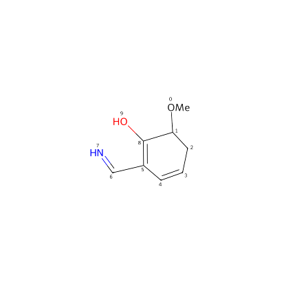 COC1CC=CC(C=N)=C1O